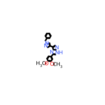 COc1ccc(-c2c[nH]c3ncc(-c4cnn(Cc5ccccc5)c4)c-3n2)cc1OC